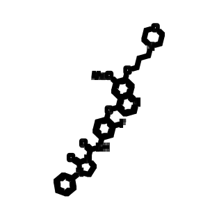 COc1cc2c(Oc3ccc(NC(=O)N4CCN(c5ccccc5)C4=O)cc3F)ccnc2cc1OCCCN1CCOCC1